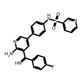 N=C(c1ccc(F)cc1)c1cc(-c2ccc(NS(=O)(=O)c3cccnc3)cc2)cnc1N